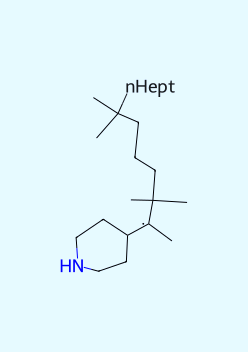 CCCCCCCC(C)(C)CCCC(C)(C)[C](C)C1CCNCC1